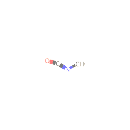 [CH]N=C=O